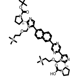 CC(C)(C)OC(=O)N1CCC[C@H]1c1ncc(-c2ccc3cc(-c4cnc(-c5cnc([C@@H]6CCCN6C(=O)O)n5COCC[Si](C)(C)C)cn4)ccc3c2)n1COCC[Si](C)(C)C